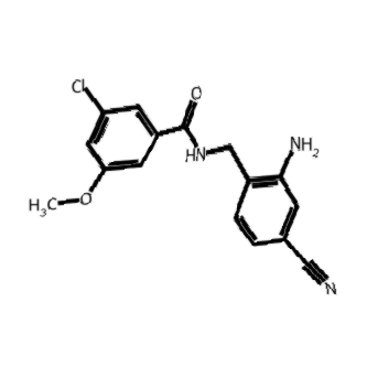 COc1cc(Cl)cc(C(=O)NCc2ccc(C#N)cc2N)c1